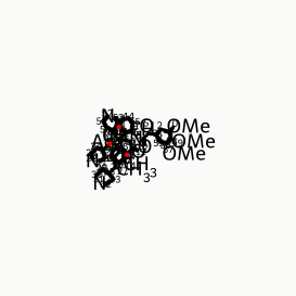 COc1cc(C(=O)C(=O)N(C)[C@H](C(=O)N(C)C(CC(C)c2ccncc2)CC(C)c2ccncc2)C(c2ccccc2)(c2ccccc2)N(C(C)=O)c2ccncc2)cc(OC)c1OC